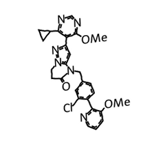 COc1cccnc1-c1ccc(CN2C(=O)CCn3nc(-c4c(OC)ncnc4C4CC4)cc32)cc1Cl